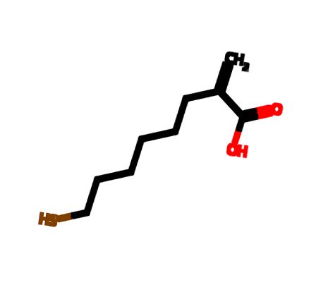 C=C(CCCCCCS)C(=O)O